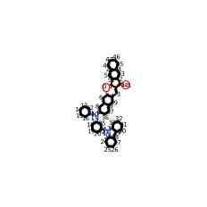 O=C1C(=Cc2ccc3cc(N(c4ccccc4)c4cccc(-n5c6ccccc6c6ccccc65)c4)ccc3c2)C(=O)c2cc3ccccc3cc21